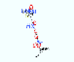 C=CCC[C@H]1[C@@H](CCC)[C@H]1COC(=O)NCCOCCOCCNC(=O)CCCC[C@@H]1SC[C@@H]2NC(=O)N[C@@H]21